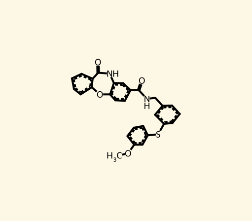 COc1cccc(Sc2cccc(CNC(=O)c3ccc4c(c3)NC(=O)c3ccccc3O4)c2)c1